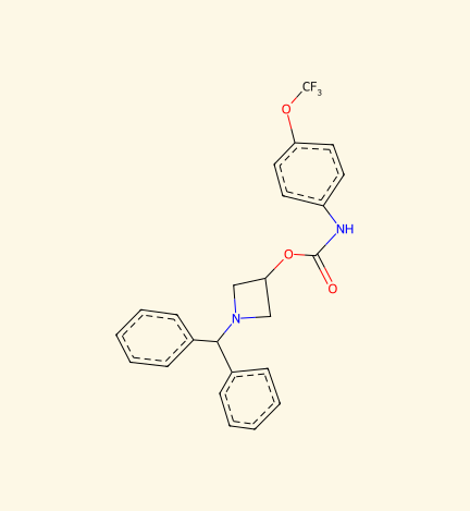 O=C(Nc1ccc(OC(F)(F)F)cc1)OC1CN(C(c2ccccc2)c2ccccc2)C1